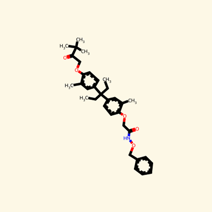 CCC(CC)(c1ccc(OCC(=O)NOCc2ccccc2)c(C)c1)c1ccc(OCC(=O)C(C)(C)C)c(C)c1